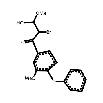 COc1cc(C(=O)C(Br)C(O)OC)ccc1Oc1ccccc1